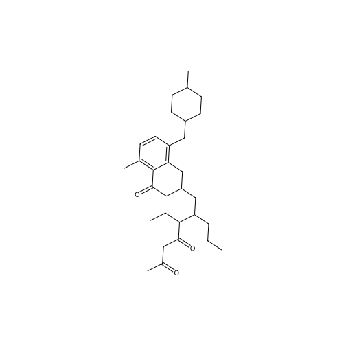 CCCC(CC1CC(=O)c2c(C)ccc(CC3CCC(C)CC3)c2C1)C(CC)C(=O)CC(C)=O